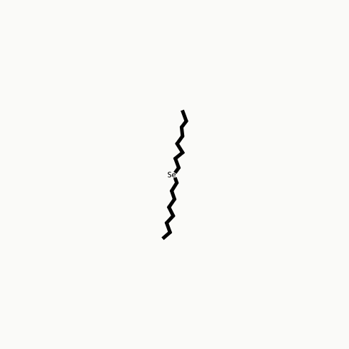 CCCCCCCC[Se]CCCCCCCC